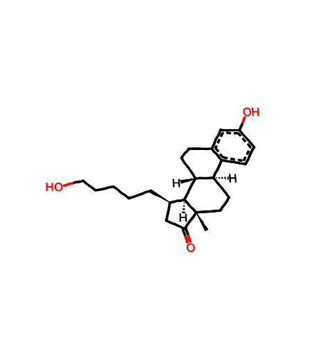 C[C@]12CC[C@@H]3c4ccc(O)cc4CC[C@H]3[C@@H]1[C@H](CCCCCO)CC2=O